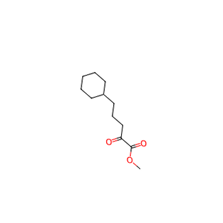 COC(=O)C(=O)CCCC1CCCCC1